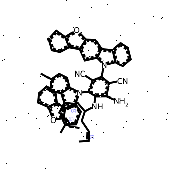 C/C=C\CC(/C=c1\c(=C/C)oc2ccccc12)Nc1c(N)c(C#N)c(-n2c3ccccc3c3cc4oc5ccccc5c4cc32)c(C#N)c1-n1c2ccc(C)cc2c2cc(C)ccc21